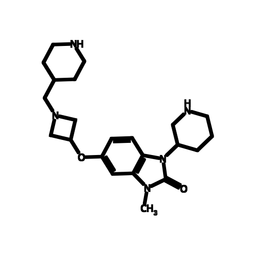 Cn1c(=O)n(C2CCCNC2)c2ccc(OC3CN(CC4CCNCC4)C3)cc21